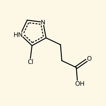 O=C(O)CCc1nc[nH]c1Cl